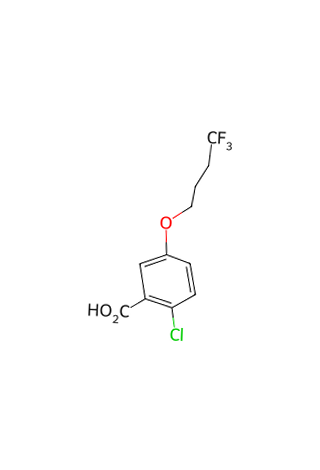 O=C(O)c1cc(OCCCC(F)(F)F)ccc1Cl